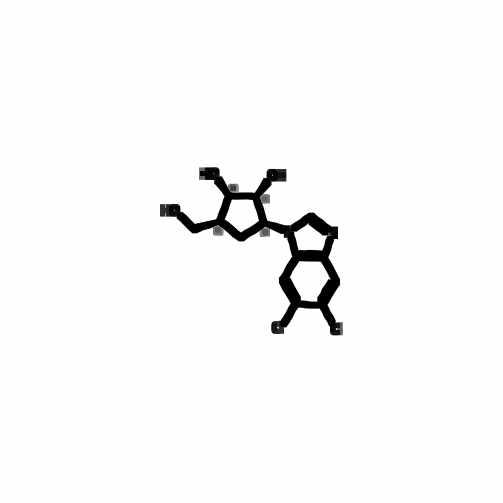 OC[C@@H]1C[C@H](n2cnc3cc(Cl)c(Cl)cc32)[C@H](O)[C@@H]1O